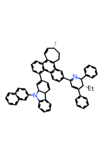 CC[C@@H]1C(c2ccccc2)=CC(c2ccc3c(c2)c2c(c4cccc(C5=CC6C(C=C5)c5ccccc5N6c5ccc6ccccc6c5)c43)C=C[C@H](C)CC2)=NC1c1ccccc1